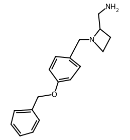 NCC1CCN1Cc1ccc(OCc2ccccc2)cc1